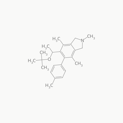 Cc1ccc(-c2c(C)c3c(c(C)c2C(C)OC(C)(C)C)CN(C)C3)cc1